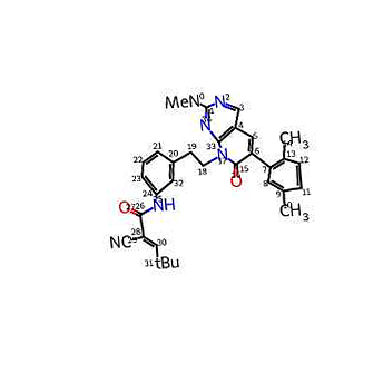 CNc1ncc2cc(-c3cc(C)ccc3C)c(=O)n(CCc3cccc(NC(=O)C(C#N)=CC(C)(C)C)c3)c2n1